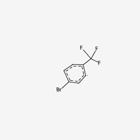 FC(F)(F)c1[c]cc(Br)cc1